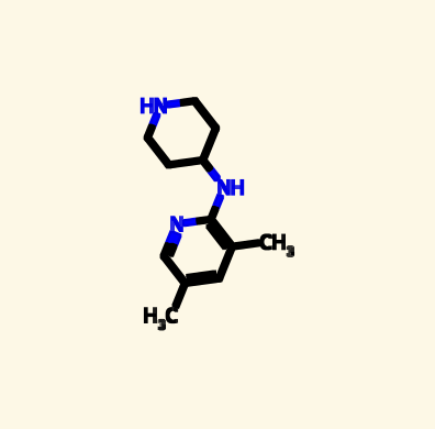 Cc1cnc(NC2CCNCC2)c(C)c1